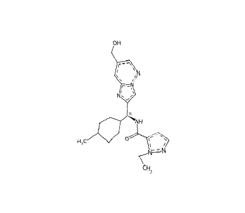 CCn1nccc1C(=O)N[C@H](c1cn2ncc(CO)cc2n1)C1CCC(C)CC1